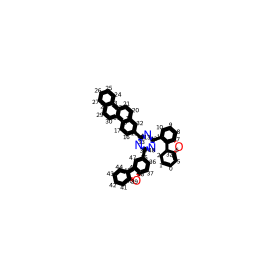 C1=CCC2C(=C1)Oc1cccc(-c3nc(-c4ccc5c(ccc6c7ccccc7ccc56)c4)nc(-c4ccc5oc6ccccc6c5c4)n3)c12